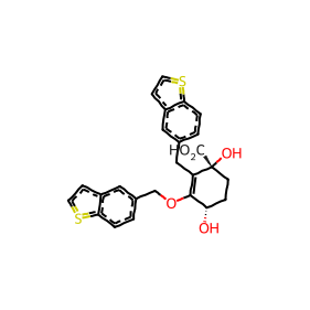 O=C(O)[C@@]1(O)CC[C@H](O)C(OCc2ccc3sccc3c2)=C1Cc1ccc2sccc2c1